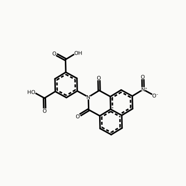 O=C(O)c1cc(C(=O)O)cc(N2C(=O)c3cccc4cc([N+](=O)[O-])cc(c34)C2=O)c1